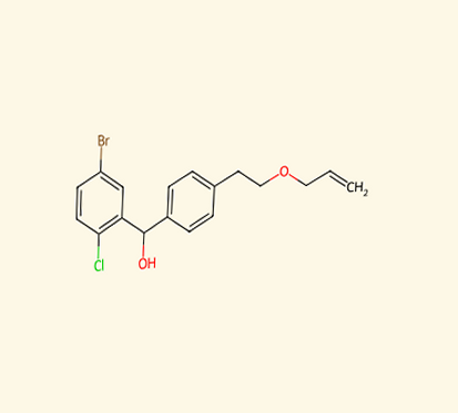 C=CCOCCc1ccc(C(O)c2cc(Br)ccc2Cl)cc1